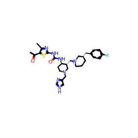 CC(=O)c1sc(NC(=O)N[C@@H]2CCN(Cc3c[nH]cn3)C[C@H]2CN2CCC[C@@H](Cc3ccc(F)cc3)C2)nc1C